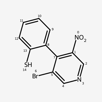 O=[N+]([O-])c1cncc(Br)c1-c1ccccc1S